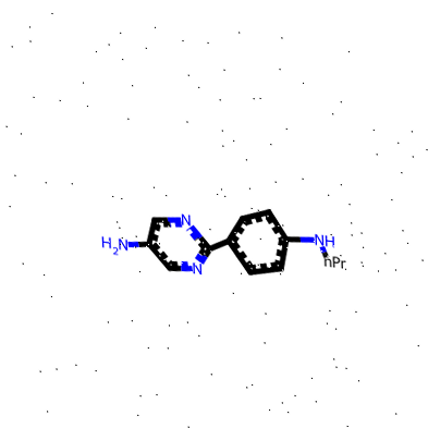 CCCNc1ccc(-c2ncc(N)cn2)cc1